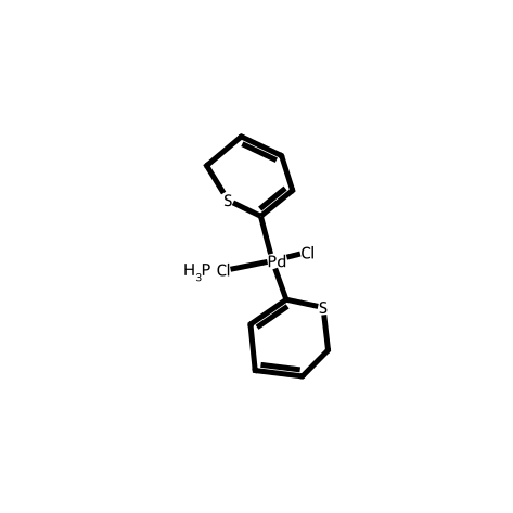 P.[Cl][Pd]([Cl])([C]1=CC=CCS1)[C]1=CC=CCS1